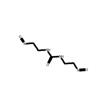 O=NCCNC(=O)NCCN=O